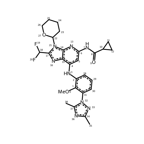 COc1c(Nc2cc(NC(=O)C3CC3)nc3c2nc(C(F)F)n3C2CCCCO2)cccc1-n1nc(C)nc1C